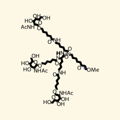 CO/C=C/C(=O)CCCCCNC(=O)C(CCCCNC(=O)CCCCCO[C@@H]1OC(CO)[C@H](O)C(O)[C@@H]1NC(C)=O)NC(=O)C(CCCCNC(=O)CCCCCO[C@@H]1OC(CO)[C@H](O)C(O)[C@@H]1NC(C)=O)NC(=O)CCCCCO[C@@H]1OC(CO)[C@H](O)C(O)[C@@H]1NC(C)=O